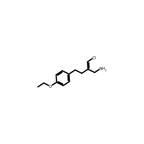 CCOc1ccc(CCC(=CCl)CN)cc1